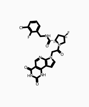 O=C(NCc1cccc(Cl)c1F)[C@@H]1C[C@@H](F)CN1C(=O)Cn1ccc2c3[nH]c(=O)[nH]c(=O)c3cnc21